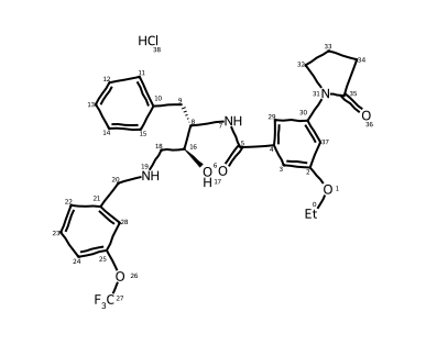 CCOc1cc(C(=O)N[C@@H](Cc2ccccc2)[C@@H](O)CNCc2cccc(OC(F)(F)F)c2)cc(N2CCCC2=O)c1.Cl